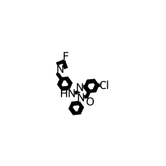 O=c1c2cc(Cl)ccc2nc(Nc2ccc(CN3CC(F)C3)cc2)n1-c1ccccc1